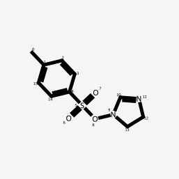 Cc1ccc(S(=O)(=O)ON2C=NCC2)cc1